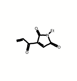 C=CC(=O)C1=CC(=O)N(CC)C1=O